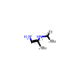 CCC(N/C(=C\N)C(C)(C)C)C(C)(C)C